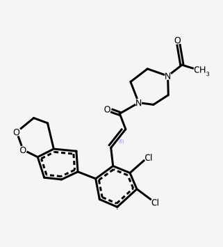 CC(=O)N1CCN(C(=O)/C=C/c2c(-c3ccc4c(c3)CCOO4)c[c]c(Cl)c2Cl)CC1